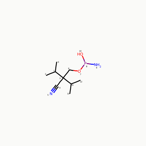 CC(C)C(C#N)(COP(N)O)C(C)C